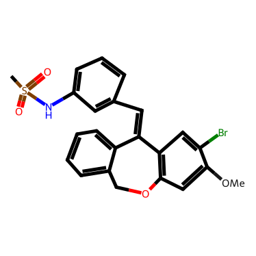 COc1cc2c(cc1Br)/C(=C/c1cccc(NS(C)(=O)=O)c1)c1ccccc1CO2